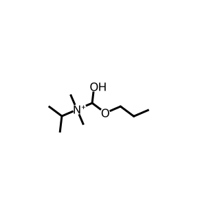 CCCOC(O)[N+](C)(C)C(C)C